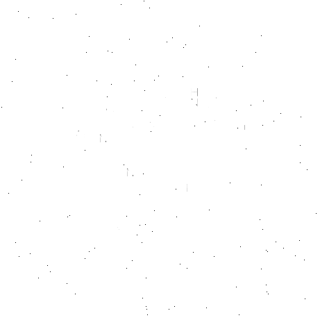 CC(=O)N(CCN(c1ccc(F)cc1)c1cccc(Br)c1)C(=O)OCOC(=O)CNC(=O)OC(C)(C)C